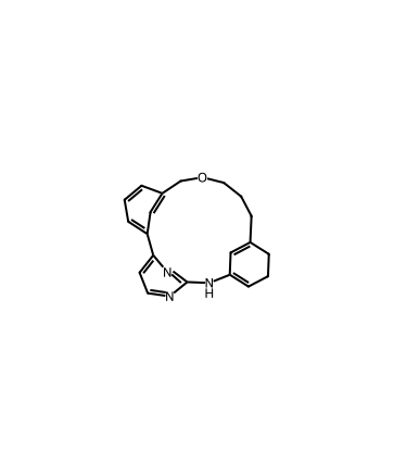 C1=C2CCC=C1Nc1nccc(n1)-c1cccc(c1)COCCC2